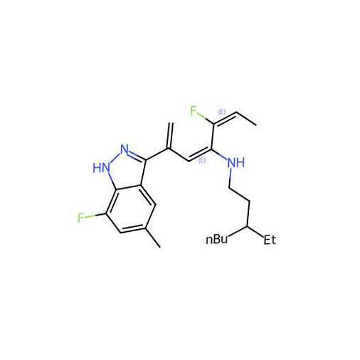 C=C(/C=C(NCCC(CC)CCCC)\C(F)=C/C)c1n[nH]c2c(F)cc(C)cc12